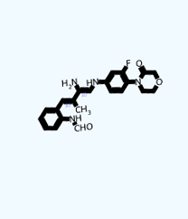 CC(=C\c1ccccc1NC=O)/C(N)=C/Nc1ccc(N2CCOCC2=O)c(F)c1